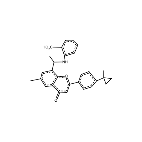 Cc1cc(C(C)Nc2ccccc2C(=O)O)c2oc(-c3ccc(C4(C)CC4)cc3)cc(=O)c2c1